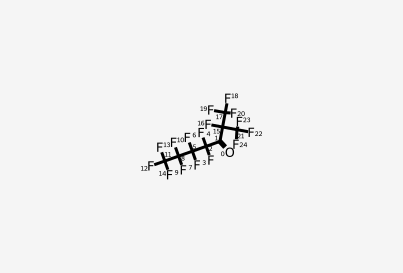 O=C(C(F)(F)C(F)(F)C(F)(F)C(F)(F)F)C(F)(C(F)(F)F)C(F)(F)F